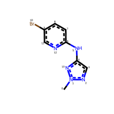 Cn1ncc(Nc2ccc(Br)cn2)n1